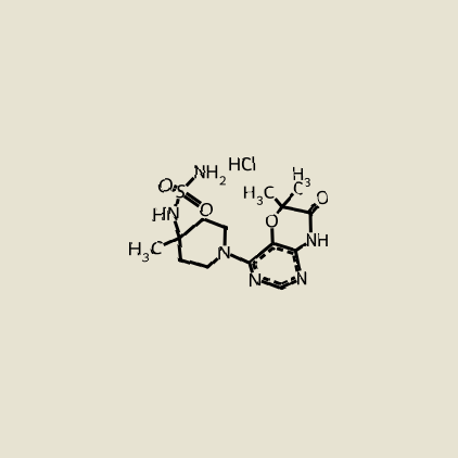 CC1(NS(N)(=O)=O)CCN(c2ncnc3c2OC(C)(C)C(=O)N3)CC1.Cl